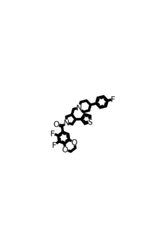 O=C(c1cc2c(c(F)c1F)OCCO2)N1CC(CN2CCC(c3ccc(F)cc3)CC2)C(c2ccsc2)C1